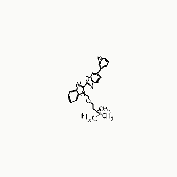 C[Si](C)(C)CCOCn1c(-c2nc3ccc(-c4cccnc4)cc3o2)nc2ccccc21